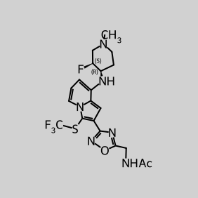 CC(=O)NCc1nc(-c2cc3c(N[C@@H]4CCN(C)C[C@@H]4F)cccn3c2SC(F)(F)F)no1